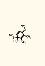 CC1=C(C)C(C)(OC#N)C=CC1OC#N